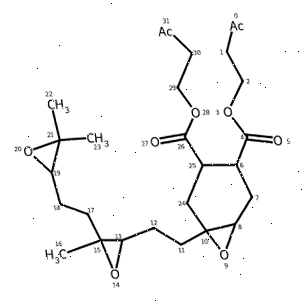 CC(=O)CCOC(=O)C1CC2OC2(CCC2OC2(C)CCC2OC2(C)C)CC1C(=O)OCCC(C)=O